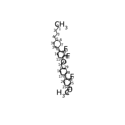 CCCCCC1CCC(c2ccc(OCc3ccc(-c4ccc(OC)cc4F)cc3)c(F)c2F)CC1